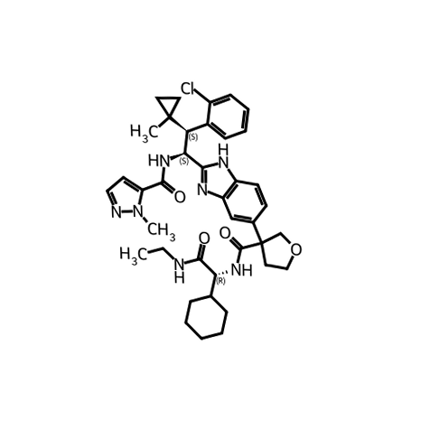 CCNC(=O)[C@H](NC(=O)C1(c2ccc3[nH]c([C@@H](NC(=O)c4ccnn4C)[C@H](c4ccccc4Cl)C4(C)CC4)nc3c2)CCOC1)C1CCCCC1